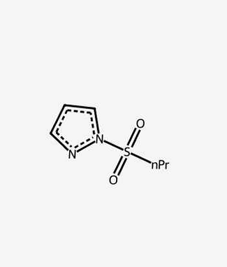 CCCS(=O)(=O)n1cccn1